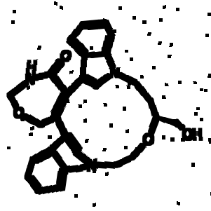 O=C1NCOCC2=C1c1cn(c3ccccc13)CC[C@@H](CO)OCCn1cc2c2ccccc21